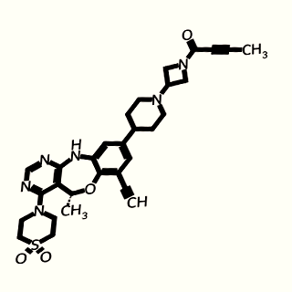 C#Cc1cc(C2CCN(C3CN(C(=O)C#CC)C3)CC2)cc2c1O[C@H](C)c1c(ncnc1N1CCS(=O)(=O)CC1)N2